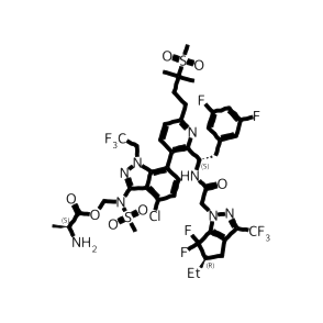 CC[C@@H]1Cc2c(C(F)(F)F)nn(CC(=O)N[C@@H](Cc3cc(F)cc(F)c3)c3nc(CCC(C)(C)S(C)(=O)=O)ccc3-c3ccc(Cl)c4c(N(COC(=O)[C@H](C)N)S(C)(=O)=O)nn(CC(F)(F)F)c34)c2C1(F)F